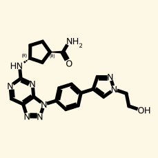 NC(=O)[C@@H]1CC[C@@H](Nc2ncc3nnn(-c4ccc(-c5cnn(CCO)c5)cc4)c3n2)C1